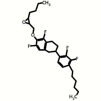 CCCCCCc1ccc(C2CCc3c(cc(F)c(OCC4OC4CCCC)c3F)C2)c(F)c1F